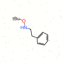 CC(C)(C)ONCCc1cc[c]cc1